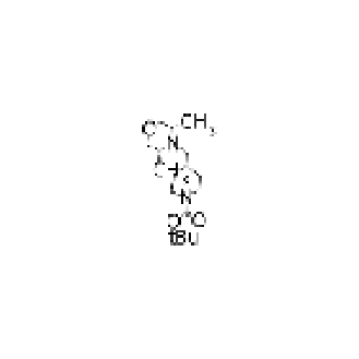 C[C@H]1COC[C@H](C)N1CC1CCN(C(=O)OC(C)(C)C)CC1